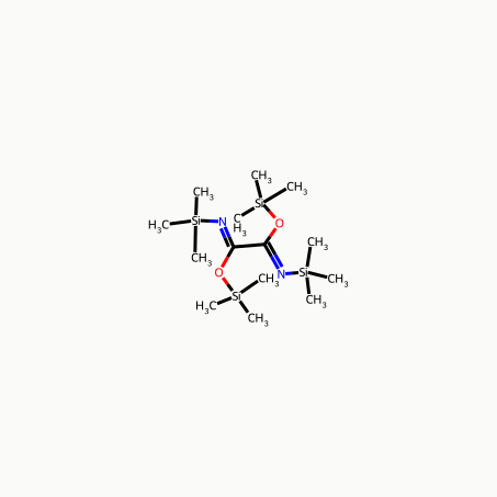 C[Si](C)(C)/N=C(O[Si](C)(C)C)/C(=N/[Si](C)(C)C)O[Si](C)(C)C